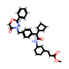 COC(=O)CCC1CCCC(NC(=O)C(c2ccc(CN3N=C(c4ccccc4)OCC3=O)cc2)C2CCCC2)C1